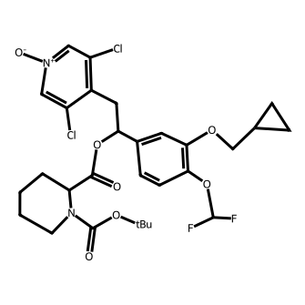 CC(C)(C)OC(=O)N1CCCCC1C(=O)OC(Cc1c(Cl)c[n+]([O-])cc1Cl)c1ccc(OC(F)F)c(OCC2CC2)c1